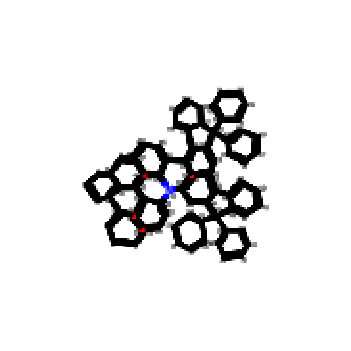 c1ccc(-c2cccc3cccc(-c4ccccc4N(c4ccc5c(c4)C(c4ccccc4)(c4ccccc4)c4ccccc4-5)c4ccccc4-c4cccc5c4-c4ccccc4C5(c4ccccc4)c4ccccc4)c23)cc1